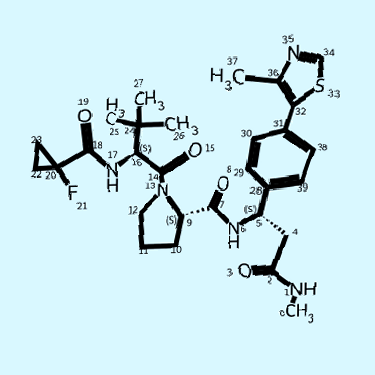 CNC(=O)C[C@H](NC(=O)[C@@H]1CCCN1C(=O)[C@@H](NC(=O)C1(F)CC1)C(C)(C)C)c1ccc(-c2scnc2C)cc1